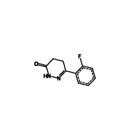 O=C1CCC(c2ccccc2F)=NN1